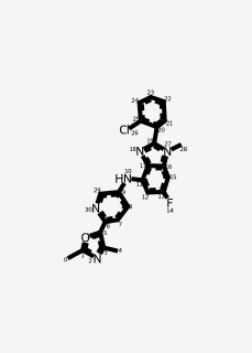 Cc1nc(C)c(-c2ccc(Nc3cc(F)cc4c3nc(-c3ccccc3Cl)n4C)cn2)o1